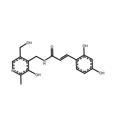 Cc1ncc(CO)c(CNC(=O)/C=C/c2ccc(O)cc2O)c1O